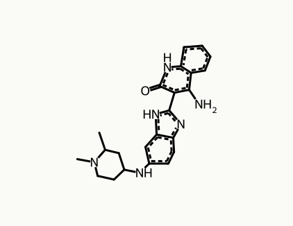 CC1CC(Nc2ccc3nc(-c4c(N)c5ccccc5[nH]c4=O)[nH]c3c2)CCN1C